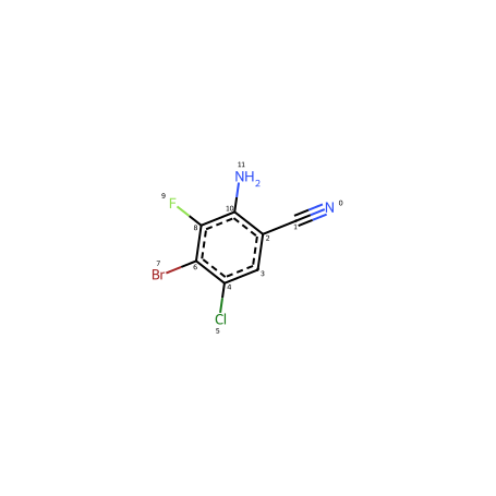 N#Cc1cc(Cl)c(Br)c(F)c1N